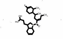 CC/C=C(\CC(C)C1CCC(F)=CC1C)[S+]([O-])N1CC(CCC(O)O)C2CC=CCC21